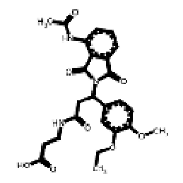 CCOc1cc(C(CC(=O)NCCC(=O)O)N2C(=O)c3cccc(NC(C)=O)c3C2=O)ccc1OC